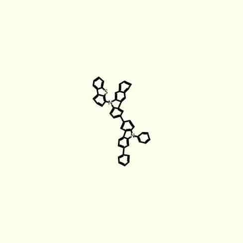 c1ccc(-c2ccc3c4cc(-c5ccc6c(c5)c5cc7ccccc7cc5n6-c5cccc6c5sc5ccccc56)ccc4n(-c4ccccc4)c3c2)cc1